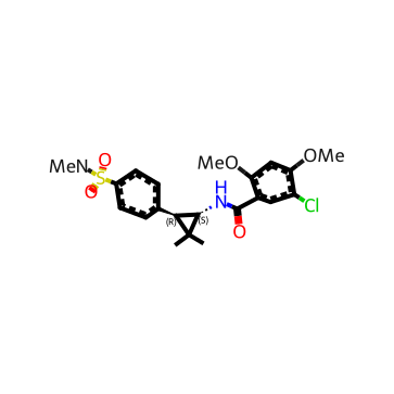 CNS(=O)(=O)c1ccc([C@H]2[C@H](NC(=O)c3cc(Cl)c(OC)cc3OC)C2(C)C)cc1